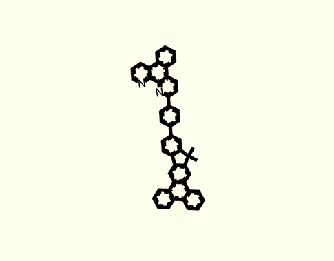 CC1(C)c2cc(-c3ccc(-c4ccc5c6ccccc6c6cccnc6c5n4)cc3)ccc2-c2cc3c4ccccc4c4ccccc4c3cc21